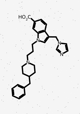 O=C(O)c1ccc2c(Cn3ccnc3)cn(CCCN3CCC(Cc4ccccc4)CC3)c2c1